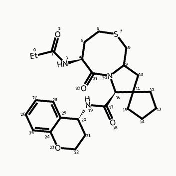 CCC(=O)N[C@H]1CCSCC2CC3(CCCC3)[C@@H](C(=O)N[C@@H]3CCOc4ccccc43)N2C1=O